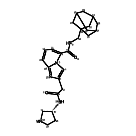 O=C(Cc1cn2c(C(=O)NCC34CC5CC(CC(C5)C3)C4)cccc2n1)N[C@@H]1CCNC1